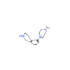 CC(C)N1CCN(c2cccc3c2CCNC3)CC1